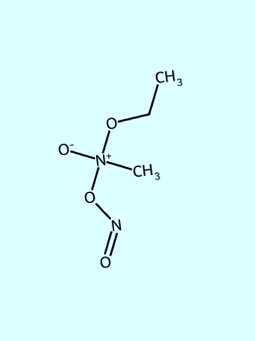 CCO[N+](C)([O-])ON=O